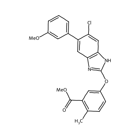 COC(=O)c1cc(Oc2nc3cc(-c4cccc(OC)c4)c(Cl)cc3[nH]2)ccc1C